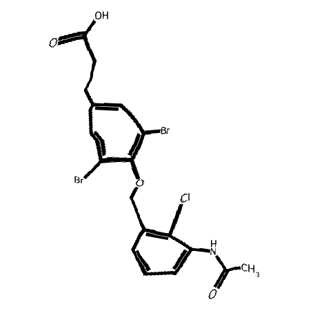 CC(=O)Nc1cccc(COc2c(Br)cc(CCC(=O)O)cc2Br)c1Cl